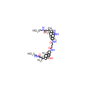 C[C@H](CCC(=O)NCCS(=O)(=O)O)[C@H]1CC[C@@H]2C3[C@@H](CC[C@@]21C)[C@@]1(C)CC[C@@H](NC(=O)CCCC(=O)N[C@H]2CC[C@]4(C)C(C2)C[C@@H](O)C2[C@@H]5CC[C@@H]([C@@H](C)CCC(=O)NCCS(=O)(=O)O)[C@]5(C)CC[C@@H]24)CC1CC31NN1